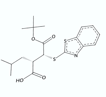 CC(C)C[C@@H](C(=O)O)[C@@H](Sc1nc2ccccc2s1)C(=O)OC(C)(C)C